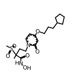 CC(CCn1ccc(OCCCC2CCCC2)cc1=O)(C(=O)NO)S(C)(=O)=O